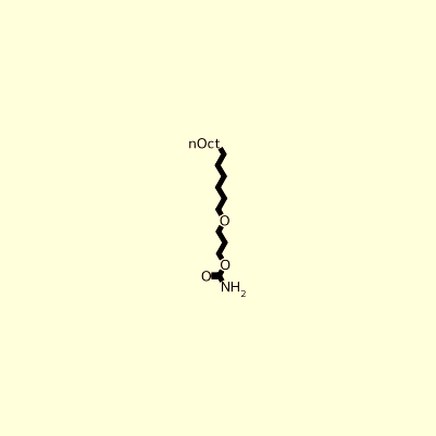 CCCCCCCCCCCCCCOCCCOC(N)=O